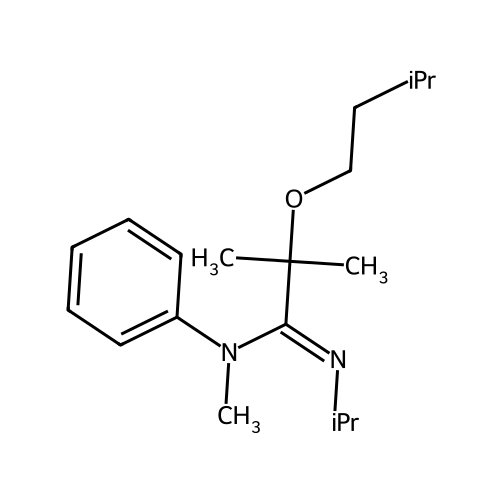 CC(C)CCOC(C)(C)/C(=N/C(C)C)N(C)c1ccccc1